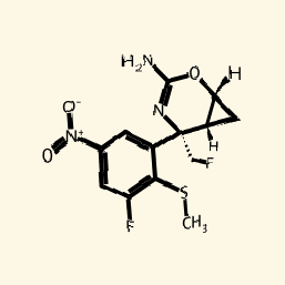 CSc1c(F)cc([N+](=O)[O-])cc1[C@@]1(CF)N=C(N)O[C@@H]2C[C@@H]21